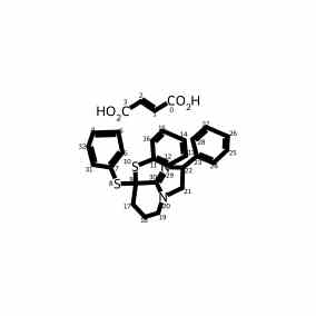 O=C(O)C=CC(=O)O.c1ccc(SC2(Sc3ccccc3)CCCN3CC(c4ccccc4)N=C32)cc1